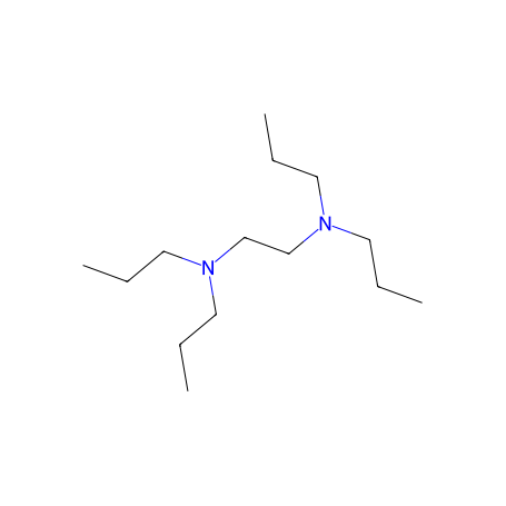 CCCN(CCC)CCN(CCC)CCC